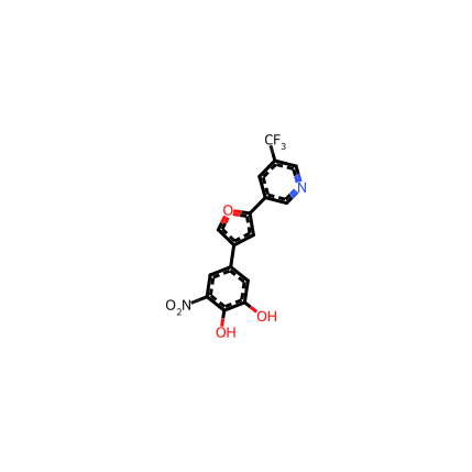 O=[N+]([O-])c1cc(-c2coc(-c3cncc(C(F)(F)F)c3)c2)cc(O)c1O